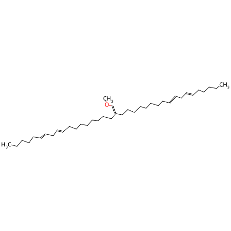 CCCCCC=CCC=CCCCCCCCCC(=COC)CCCCCCCCC=CCC=CCCCCC